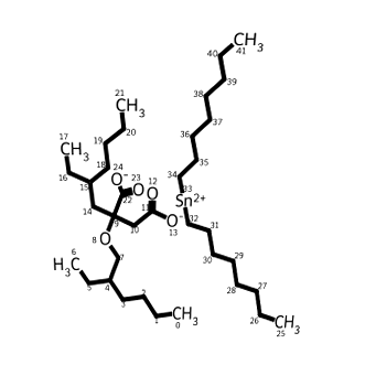 CCCCC(CC)COC(CC(=O)[O-])(CC(CC)CCCC)C(=O)[O-].CCCCCCC[CH2][Sn+2][CH2]CCCCCCC